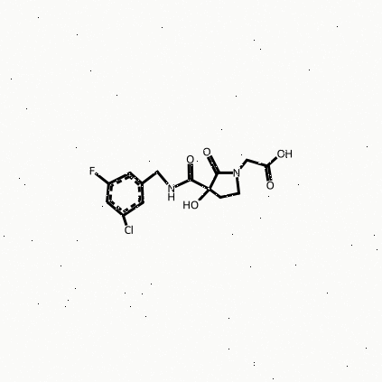 O=C(O)CN1CCC(O)(C(=O)NCc2cc(F)cc(Cl)c2)C1=O